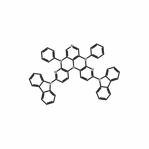 c1ccc(N2c3cncc4c3B(c3ccc(-n5c6ccccc6c6ccccc65)nc32)c2ccc(-n3c5ccccc5c5ccccc53)nc2N4c2ccccc2)cc1